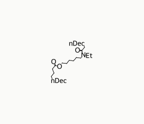 CCCCCCCCCCCCCC(=O)OCCCCCCN(CC)C(=O)CCCCCCCCCCC